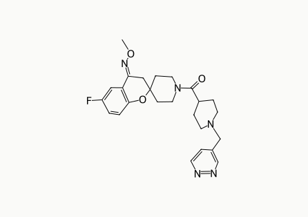 CO/N=C1\CC2(CCN(C(=O)C3CCN(Cc4ccnnc4)CC3)CC2)Oc2ccc(F)cc21